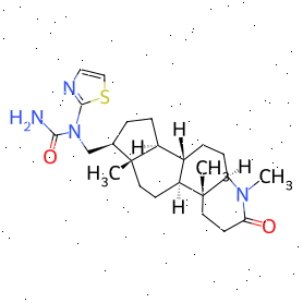 CN1C(=O)CC[C@]2(C)[C@H]3CC[C@]4(C)[C@@H](CN(C(N)=O)c5nccs5)CC[C@H]4[C@@H]3CC[C@@H]12